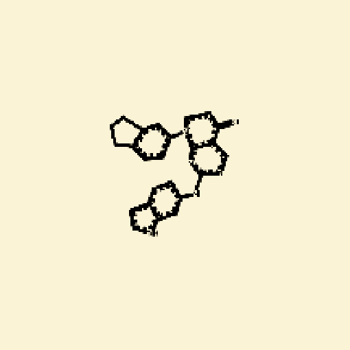 O=c1ccn(-c2ccc3c(c2)CCC3)c2nc(Nc3ccc4cc[nH]c4c3)ncc12